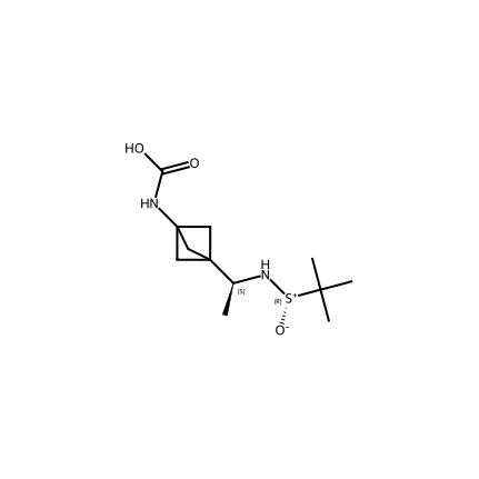 C[C@H](N[S@@+]([O-])C(C)(C)C)C12CC(NC(=O)O)(C1)C2